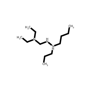 CCCC[SiH](CCC)NCN(CC)CC